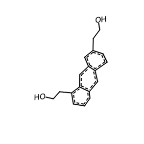 OCCc1ccc2cc3cccc(CCO)c3cc2c1